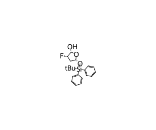 CC(C)(C)[Si](O[C@@H]1C[C@@H](F)[C@H](O)O1)(c1ccccc1)c1ccccc1